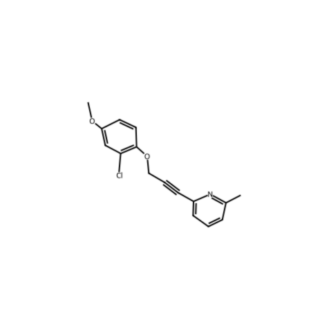 COc1ccc(OCC#Cc2cccc(C)n2)c(Cl)c1